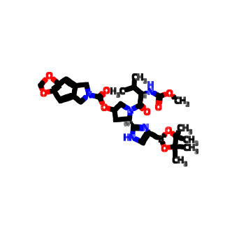 COC(=O)N[C@H](C(=O)N1CC(OC(=O)N2Cc3cc4c(cc3C2)OCO4)C[C@H]1c1nc(B2OC(C)(C)C(C)(C)O2)c[nH]1)C(C)C